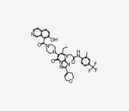 CCc1c(N2CCN(C(=O)c3c(O)ccc4ccncc34)CC2)c(=O)n2nc(C3=CCOCC3)nc2n1CC(=O)Nc1ccc(C(F)(F)F)cc1C